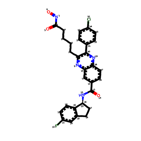 O=NC(=O)CCCCc1nc2cc(C(=O)N[C@H]3CCc4cc(F)ccc43)ccc2nc1-c1ccc(Cl)cc1